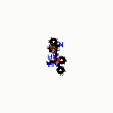 CC[C@H](C)[C@H](NC(c1ccccc1)c1ccccc1)C(=O)NCCC[C@@](C#N)(c1ccccc1)S(=O)(=O)C(C)C